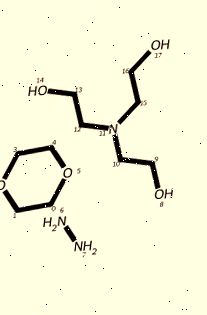 C1COCCO1.NN.OCCN(CCO)CCO